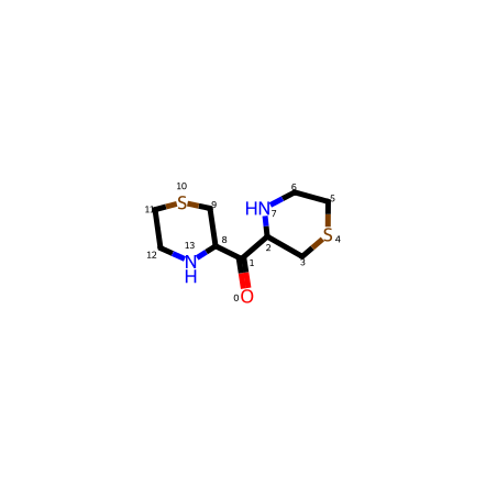 O=C(C1CSCCN1)C1CSCCN1